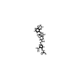 CNc1nc(CN[C@H]2CC[C@](O)(C(=O)Nc3ccnc4c3OCCO4)CC2)ccc1SCC(C)=O